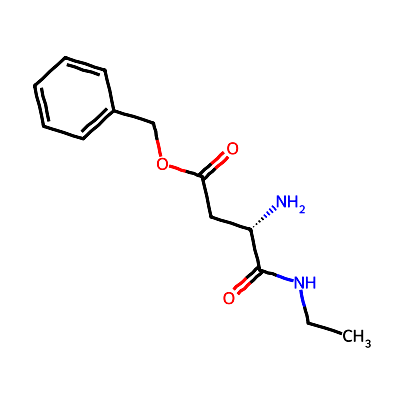 CCNC(=O)[C@@H](N)CC(=O)OCc1ccccc1